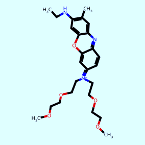 CCNc1cc2oc3cc(=[N+](CCOCCOC)CCOCCOC)ccc-3nc2cc1C